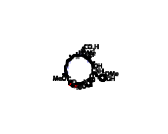 CO[C@H]1C[C@@H]2CC[C@@H](C)[C@@](O)(O2)C(=O)C(=O)N2CCCC[C@H]2C(=O)O[C@H]([C@H](N)C[C@@H]2CC[C@@H](O)[C@H](OC)C2)C[C@@H](O)[C@H](C)/C=C(\C)[C@@H](O)[C@@H](OC)/C(=N\OCC(=O)O)[C@H](C)C[C@H](C)/C=C/C=C/C=C/1C